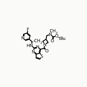 C[C@H](Nc1nc(C(=O)N2CC(CN(C)C(=O)OC(C)(C)C)C2)c2sccc2n1)c1cncc(F)c1